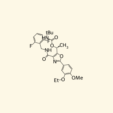 CCOc1cc(-c2nc(C(=O)NCc3c(F)cccc3F)c([C@H](C)OC(=O)NC(C)(C)C)o2)ccc1OC